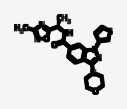 Cc1noc([C@@H](C)NC(=O)c2ccc3c(N4CCOCC4)nn(-c4ccsc4)c3c2)n1